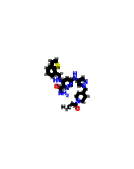 CCC(=O)N1CCC(Cn2cc(Nc3cc(NCc4cccc5ccsc45)c(C(N)=O)nn3)cn2)CC1